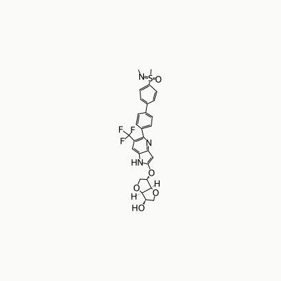 CN=S(C)(=O)c1ccc(-c2ccc(-c3nc4cc(O[C@@H]5CO[C@H]6[C@@H]5OC[C@H]6O)[nH]c4cc3C(F)(F)F)cc2)cc1